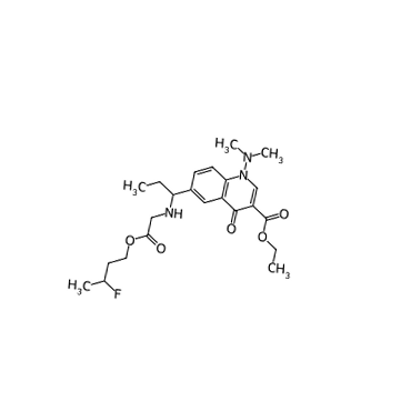 CCOC(=O)c1cn(N(C)C)c2ccc(C(CC)NCC(=O)OCCC(C)F)cc2c1=O